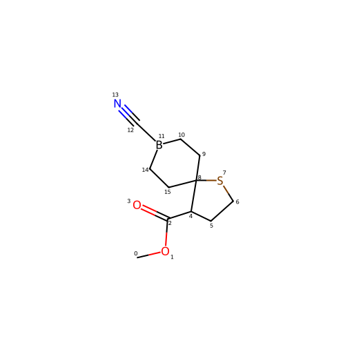 COC(=O)C1CCSC12CCB(C#N)CC2